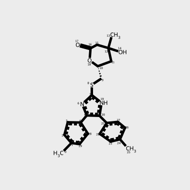 Cc1ccc(-c2nc(SC[C@H]3CC(C)(O)CC(=O)O3)[nH]c2-c2ccc(C)cc2)cc1